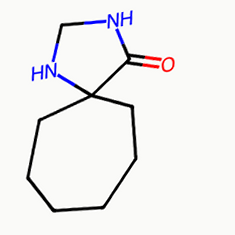 O=C1NCNC12CCCCCC2